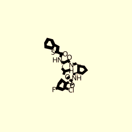 CC(C)C[C@H](NC(=O)c1cc2ccccc2s1)C(=O)NC[C@@H]1CCC[C@H]1CNS(=O)(=O)c1ccc(F)cc1Cl